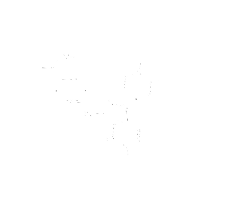 CCC1(n2nc(Nc3ccc(C(OC)C(F)(F)F)cc3)c3c(=O)[nH]ccc32)CCN(C(=O)O)C(C(C)(C)C)C1